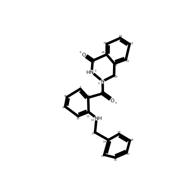 O=C1NN(C(=O)c2ccccc2NCc2ccccc2)Cc2ccccc21